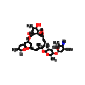 CC/N=C1\[C@H](C)O[C@@H](O[C@H]2[C@H](C)O[C@@H](O[C@@H]3/C(C)=C/C[C@@H]4C[C@@H](CC5(C=C[C@H](C)[C@@H](CC)O5)O4)OC(=O)[C@@H]4C=C(C)[C@@H](O)[C@H]5OC/C(=C\C=C\[C@@H]3C)[C@]54O)C[C@@H]2OC)C[C@@H]1OC